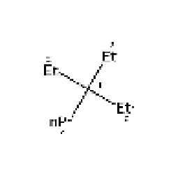 C[CH]C(CC)(CC)CCC